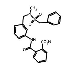 CN(Cc1cccc(NC(=O)c2ccccc2C(=O)O)c1)S(=O)(=O)Cc1ccccc1